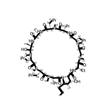 C/C=C/C[C@@H](C)[C@@H](O)[C@H]1C(=O)N[C@@H](CC)C(=O)N(C)CC(=O)N(C)[C@@H](CC(C)C)C(=O)N[C@@H](C(C)C)C(=O)N(C)[C@@H](CC(C)C)C(=O)N[C@@H](C)C(=O)N[C@H](C)C(O)N(C)[C@@H](CC(C)C)C(=O)N(C)[C@@H](CC(C)C)C(=O)N(C)[C@@H](C(C)C)C(=O)N1C